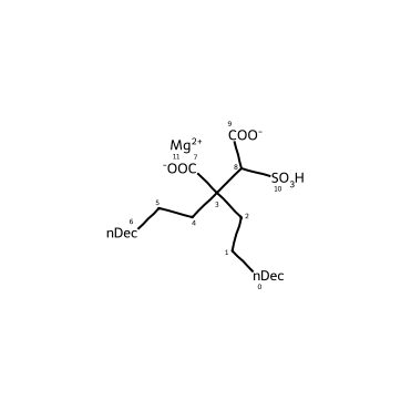 CCCCCCCCCCCCC(CCCCCCCCCCCC)(C(=O)[O-])C(C(=O)[O-])S(=O)(=O)O.[Mg+2]